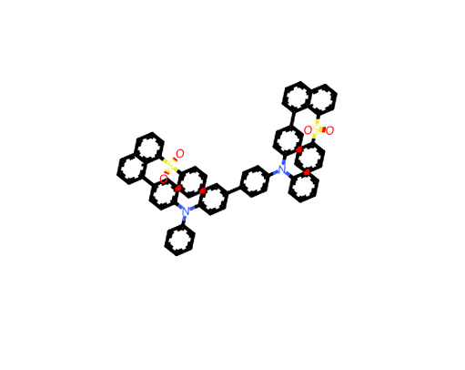 O=S(=O)(c1ccccc1)c1cccc2cccc(-c3ccc(N(c4ccccc4)c4ccc(-c5ccc(N(c6ccccc6)c6ccc(-c7cccc8cccc(S(=O)(=O)c9ccccc9)c78)cc6)cc5)cc4)cc3)c12